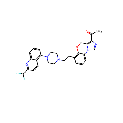 CNC(=O)c1ncn2c1COc1c(CCN3CCN(c4cccc5nc(C(F)F)ccc45)CC3)cccc1-2